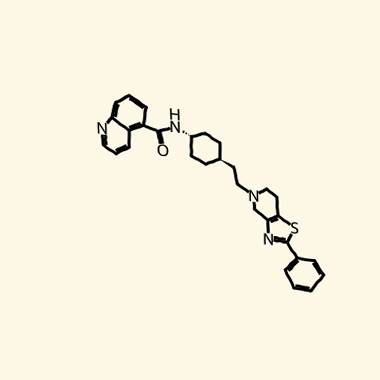 O=C(N[C@H]1CC[C@H](CCN2CCc3sc(-c4ccccc4)nc3C2)CC1)c1cccc2ncccc12